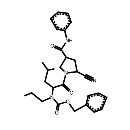 CCCN(C(=O)OCc1ccccc1)C(CC(C)C)C(=O)N1CC(C(=O)Nc2ccccc2)CC1C#N